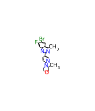 Cc1nc(-c2ccc(N3CCOC[C@@H]3C)nc2)nc2cc(F)c(Br)cc12